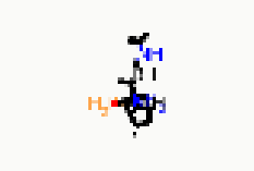 C=C(C)NCBC(C)C1C[C@@H]2C[C@H](C)C(C1P)C2(N)CC